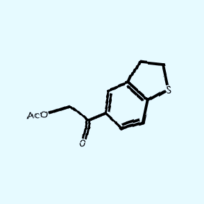 CC(=O)OCC(=O)c1ccc2c(c1)CCS2